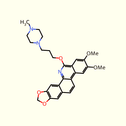 COc1cc2c(OCCCN3CCN(C)CC3)nc3c4cc5c(cc4ccc3c2cc1OC)OCO5